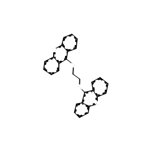 c1ccc2c(NCCNc3c4ccccc4nc4ccccc34)c3ccccc3nc2c1